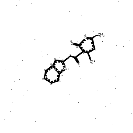 Cc1cc(O)c(C(=O)Cc2cc3ccccc3o2)c(=O)o1